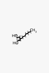 CCCCCCCC[C](CCO)CCO